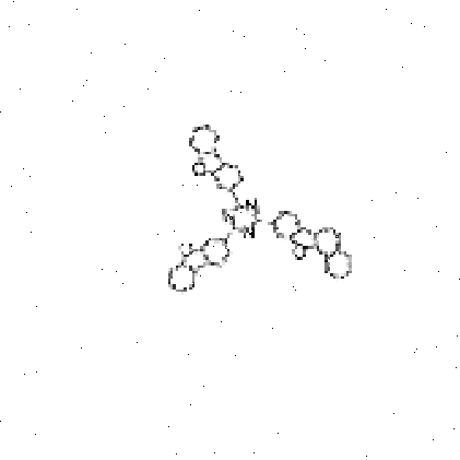 c1ccc2c(c1)ccc1c3ccc(-c4nc(-c5ccc6c(c5)oc5ccccc56)nc(-c5ccc6c(c5)oc5ccccc56)n4)cc3oc21